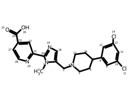 Cn1c(CN2CCC(c3cc(Cl)cc(Cl)c3)CC2)cnc1-c1cc(C(=O)O)ccn1